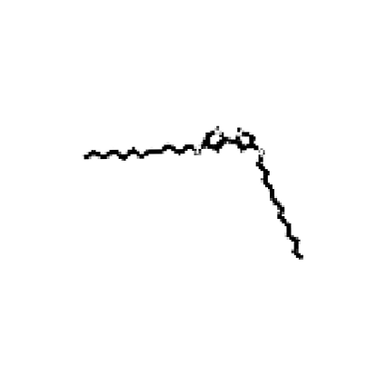 CCCCCCCCCCCCOc1csc(-c2cc(OCCCCCCCCCCCC)cs2)c1